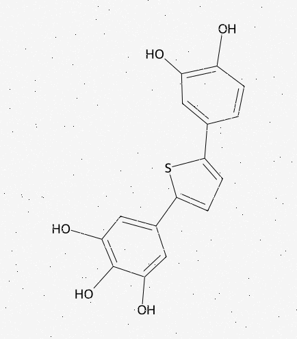 Oc1ccc(-c2ccc(-c3cc(O)c(O)c(O)c3)s2)cc1O